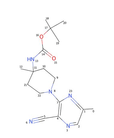 Cc1cnc(C#N)c(N2CCC(C)(NC(=O)OC(C)(C)C)CC2)n1